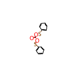 O=C(OSc1ccccc1)OSc1ccccc1